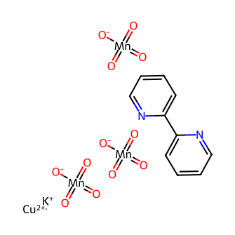 [Cu+2].[K+].[O]=[Mn](=[O])(=[O])[O-].[O]=[Mn](=[O])(=[O])[O-].[O]=[Mn](=[O])(=[O])[O-].c1ccc(-c2ccccn2)nc1